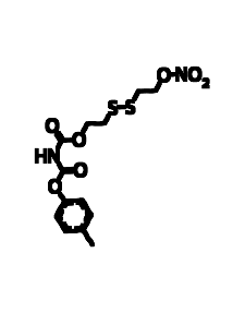 Cc1ccc(OC(=O)NC(=O)OCCSSCCO[N+](=O)[O-])cc1